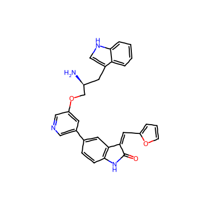 N[C@H](COc1cncc(-c2ccc3c(c2)C(=Cc2ccco2)C(=O)N3)c1)Cc1c[nH]c2ccccc12